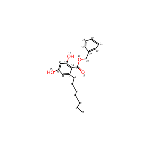 CCCCCCCc1cc(O)cc(O)c1C(=O)OCc1ccccc1